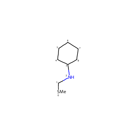 CSCNC1CCCCC1